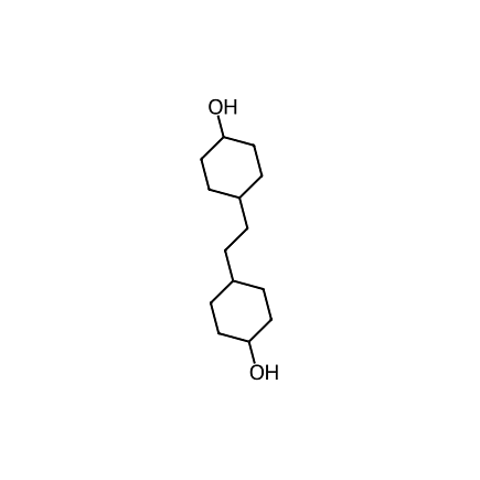 OC1CCC(CCC2CCC(O)CC2)CC1